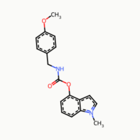 COc1ccc(CNC(=O)Oc2cccc3c2ccn3C)cc1